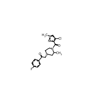 CC1CN(CC(=O)c2ccc(F)cc2)CCN1C(=O)c1nn(C)cc1Cl